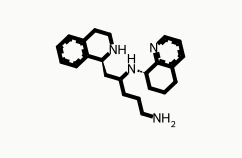 NCCCC(C[C@@H]1NCCc2ccccc21)N[C@H]1CCCc2cccnc21